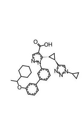 CC(Oc1cccc(-c2cccc(-n3ncc(C(=O)O)c3[C@@H]3C[C@H]3c3cn(C4CC4)nn3)c2)c1)C1CCCCC1